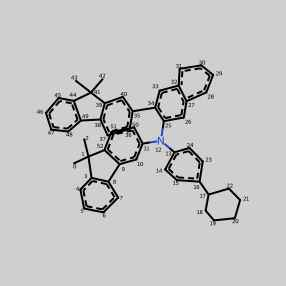 CC1(C)c2ccccc2-c2cc(N(c3ccc(C4CCCCC4)cc3)c3cc4ccccc4cc3-c3ccc4c(c3)C(C)(C)c3ccccc3-4)ccc21